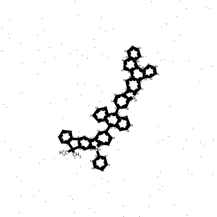 CC1(C)c2ccccc2-c2cc3c4cc(-c5c6ccccc6c(-c6ccc7c(c6)sc6cc8c9ccccc9c9c%10ccccc%10ccc9c8cc67)c6ccccc56)ccc4n(-c4ccccc4)c3cc21